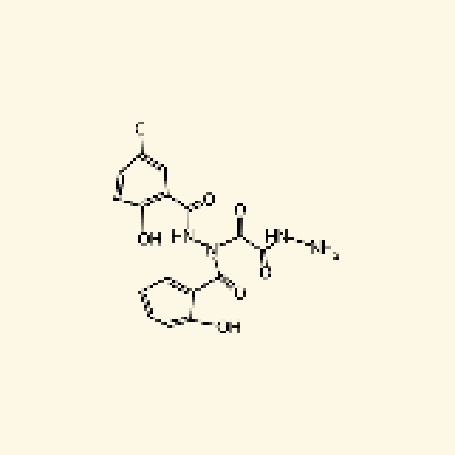 NNC(=O)C(=O)N(NC(=O)c1cc(Cl)ccc1O)C(=O)c1ccccc1O